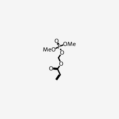 C=CC(=O)OCOP(=O)(OC)OC